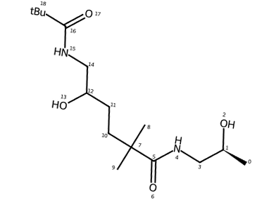 C[C@H](O)CNC(=O)C(C)(C)CCC(O)CNC(=O)C(C)(C)C